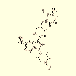 CCNc1cc2c(cn1)c(C1CCN(C)CC1)nn2C1CCC(Oc2nccc(C(F)(F)F)c2F)CC1